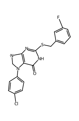 O=c1[nH]c(SCc2cccc(F)c2)nc2c1N(c1ccc(Cl)cc1)C[N]2